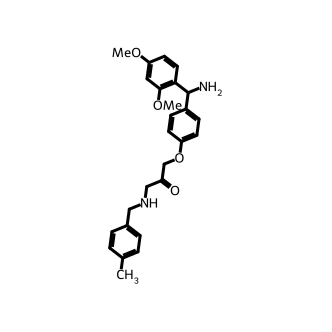 COc1ccc(C(N)c2ccc(OCC(=O)CNCc3ccc(C)cc3)cc2)c(OC)c1